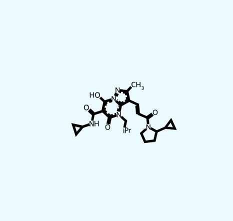 Cc1nn2c(O)c(C(=O)NC3CC3)c(=O)n(CC(C)C)c2c1C=CC(=O)N1CCCC1C1CC1